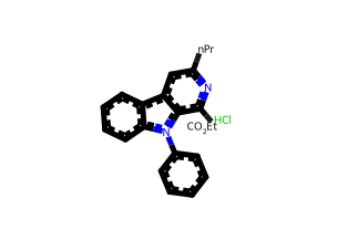 CCCc1cc2c3ccccc3n(-c3ccccc3)c2c(C(=O)OCC)n1.Cl